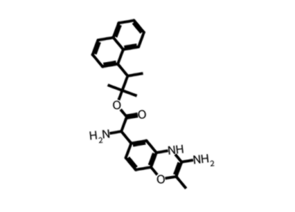 CC1=C(N)Nc2cc(C(N)C(=O)OC(C)(C)C(C)c3cccc4ccccc34)ccc2O1